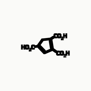 O=C(O)C1=CC(C(=O)O)=C(C(=O)O)C1